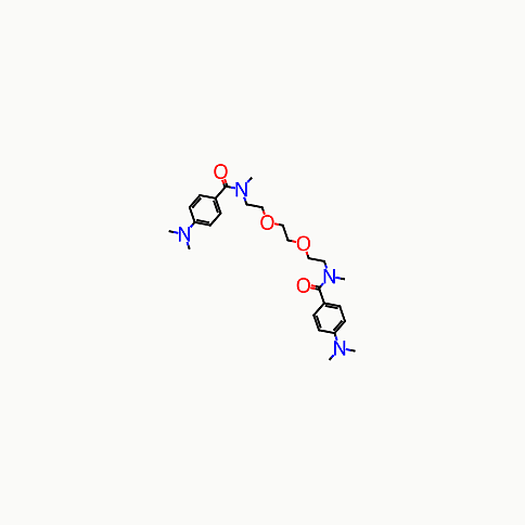 CN(CCOCCOCCN(C)C(=O)c1ccc(N(C)C)cc1)C(=O)c1ccc(N(C)C)cc1